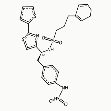 O=[SH](=O)Nc1ccc(C[C@H](NS(=O)(=O)CCCC2=CCCC=C2)c2csc(-c3cccs3)n2)cc1